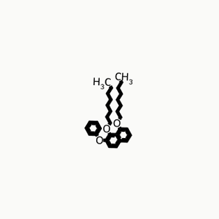 CCCCCCCCOc1cccc2ccc(Oc3ccccc3)c(OCCCCCCCC)c12